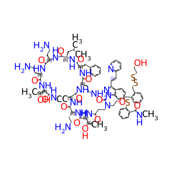 CNC(=O)c1ccccc1Sc1ccc2c(/C=C/c3ccccn3)nn(C(=O)N(CCOCc3ccccc3CSSCCO)CCC(=O)N[C@H](C(=O)N[C@H](CCN)C(=O)N[C@H]3CCNC(=O)[C@@H]([C@@H](C)O)NC(=O)[C@@H](CCN)NC(=O)[C@@H](CCN)NC(=O)[C@@H](CC(C)C)NC(=O)[C@@H](Cc4ccccc4)NC(=O)[C@@H](CCN)NC3=O)[C@@H](C)O)c2c1